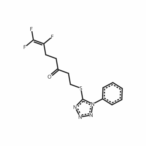 O=C(CCSc1nnnn1-c1ccccc1)CCC(F)=C(F)F